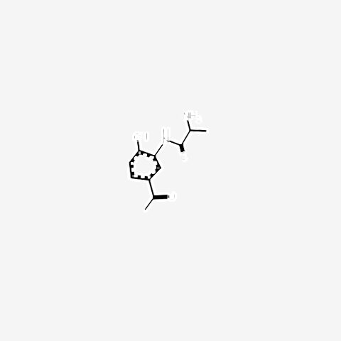 CC(=O)c1ccc(O)c(NC(=O)C(C)N)c1